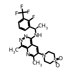 Cc1nc2c(C)nnc(N[C@H](C)c3cccc(C(F)(F)F)c3F)c2cc1N1CCS(=O)(=O)CC1